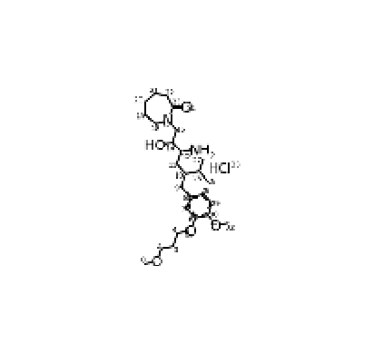 COCCCOc1cc(C[C@@H](C[C@H](N)[C@@H](O)CN2CCCCCC2=O)C(C)C)ccc1OC.Cl